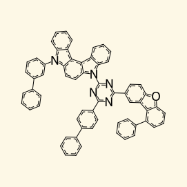 c1ccc(-c2ccc(-c3nc(-c4ccc5oc6cccc(-c7ccccc7)c6c5c4)nc(-n4c5ccccc5c5c6c7ccccc7n(-c7cccc(-c8ccccc8)c7)c6ccc54)n3)cc2)cc1